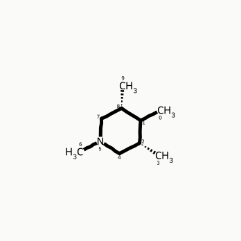 CC1[C@H](C)CN(C)C[C@@H]1C